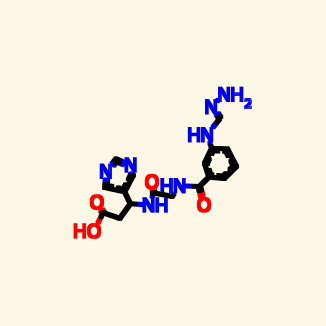 NN=CNc1cccc(C(=O)NCC(=O)NC(CC(=O)O)c2cncnc2)c1